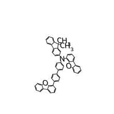 CC1(C)c2ccccc2-c2ccc(N(c3ccc(-c4ccc(-c5cccc6c5oc5ccccc56)cc4)cc3)c3cccc4c3oc3ccccc34)cc21